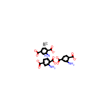 Nc1cc(C(=O)[O-])ccc1C(=O)[O-].Nc1cc(C(=O)[O-])ccc1C(=O)[O-].Nc1cc(C(=O)[O-])ccc1C(=O)[O-].[Al+3].[Al+3]